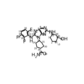 C[C@@H]1CC[C@@H](Nc2ncc3nc(Nc4c(F)ccc(F)c4F)n([C@H]4CC[C@@H](C(N)=O)CC4)c3n2)C[C@H]1O